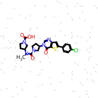 CN(C(=O)N1CCC(n2cnc3cc(-c4ccc(Cl)cc4)sc3c2=O)C1)C1CCN(C(=O)O)C1